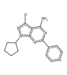 Nc1nc(-c2ccncc2)nc2c1c(Cl)nn2C1CCCC1